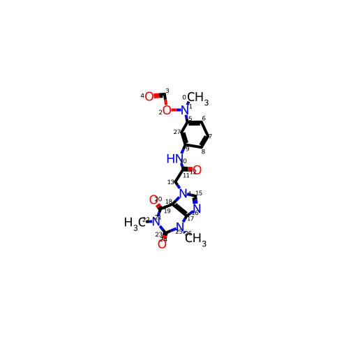 CN(OC=O)c1cccc(NC(=O)Cn2cnc3c2c(=O)n(C)c(=O)n3C)c1